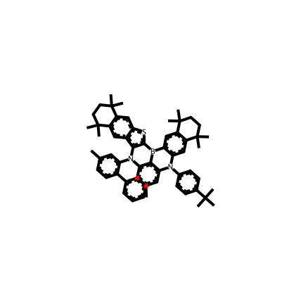 Cc1ccc(-c2ccccc2)c(N2c3cc(C)cc4c3B(c3cc5c(cc3N4c3ccc(C(C)(C)C)cc3)C(C)(C)CCC5(C)C)c3sc4cc5c(cc4c32)C(C)(C)CCC5(C)C)c1